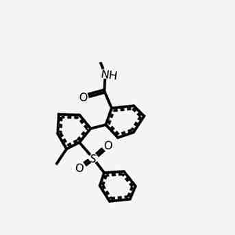 CNC(=O)c1ccccc1-c1cccc(C)c1S(=O)(=O)c1ccccc1